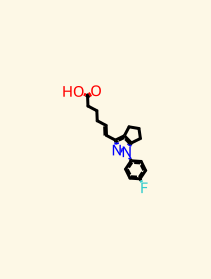 O=C(O)CCCC=Cc1nn(-c2ccc(F)cc2)c2c1CCC2